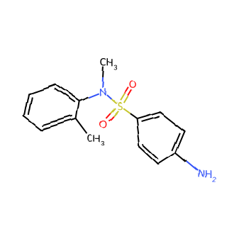 Cc1ccccc1N(C)S(=O)(=O)c1ccc(N)cc1